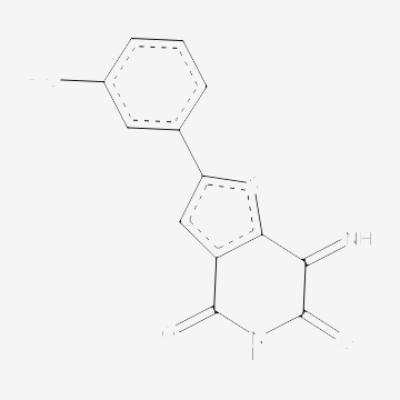 N=C1C(=O)NC(=O)c2cc(-c3cccc(C(F)(F)F)c3)sc21